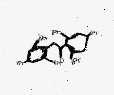 CC(C)C1=CC(C(C)C)[CH]C(C(C)C)=C1C(=O)Cc1c(C(C)C)cc(C(C)C)cc1C(C)C